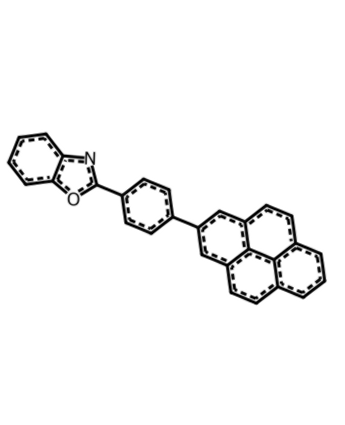 c1cc2ccc3cc(-c4ccc(-c5nc6ccccc6o5)cc4)cc4ccc(c1)c2c34